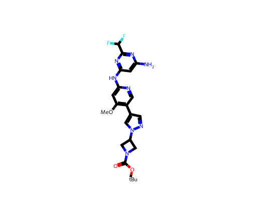 COc1cc(Nc2cc(N)nc(C(F)F)n2)ncc1-c1cnn(C2CN(C(=O)OC(C)(C)C)C2)c1